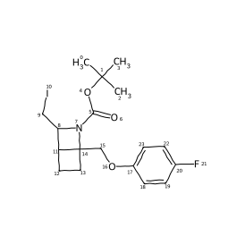 CC(C)(C)OC(=O)N1C(CI)C2CCC21COc1ccc(F)cc1